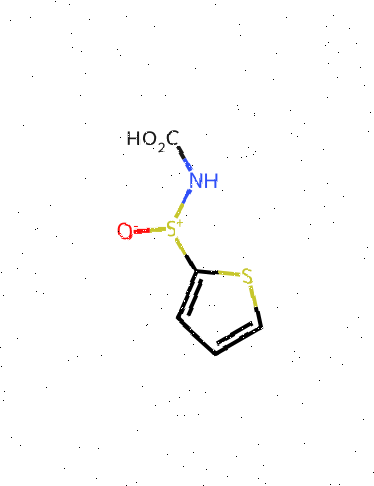 O=C(O)N[S+]([O-])c1cccs1